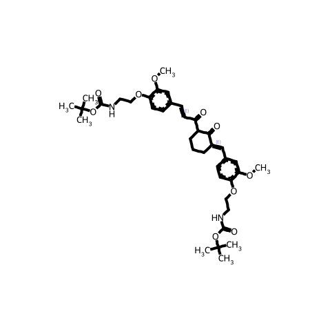 COc1cc(/C=C/C(=O)C2CCC/C(=C\c3ccc(OCCNC(=O)OC(C)(C)C)c(OC)c3)C2=O)ccc1OCCNC(=O)OC(C)(C)C